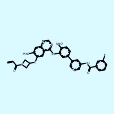 C=CC(=O)N1CC(Oc2cc3c(Nc4cc(-c5cncc(NC(=O)c6cccc(F)c6)c5)ccc4OC)ncnc3cc2OC)C1